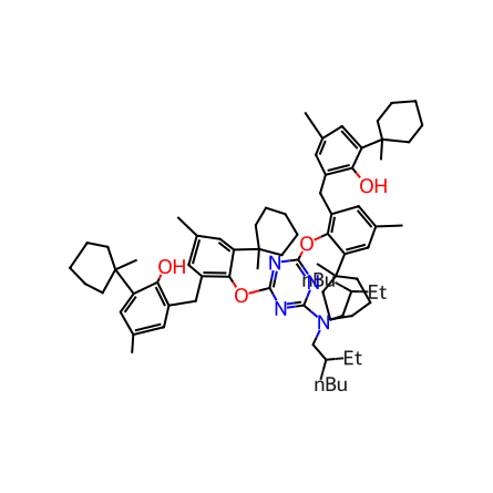 CCCCC(CC)CN(CC(CC)CCCC)c1nc(Oc2c(Cc3cc(C)cc(C4(C)CCCCC4)c3O)cc(C)cc2C2(C)CCCCC2)nc(Oc2c(Cc3cc(C)cc(C4(C)CCCCC4)c3O)cc(C)cc2C2(C)CCCCC2)n1